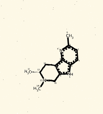 Cc1ccc2[nH]c3c(c2n1)C[C@@H](C)N(C)C3